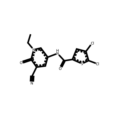 CCn1cc(NC(=O)c2cc(Cl)c(Cl)s2)cc(C#N)c1=O